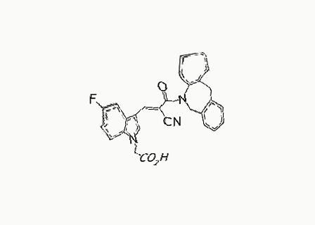 N#C/C(=C\c1cn(CC(=O)O)c2ccc(F)cc12)C(=O)N1Cc2ccccc2Cc2ccccc21